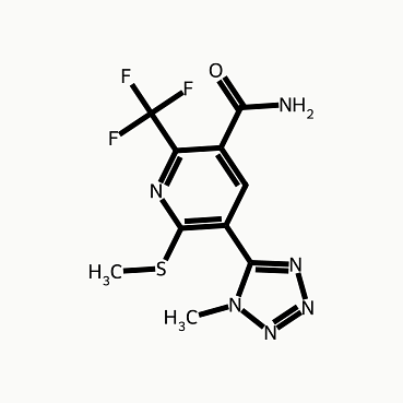 CSc1nc(C(F)(F)F)c(C(N)=O)cc1-c1nnnn1C